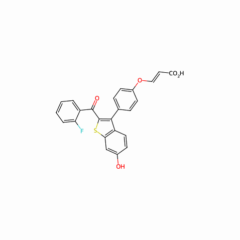 O=C(O)/C=C/Oc1ccc(-c2c(C(=O)c3ccccc3F)sc3cc(O)ccc23)cc1